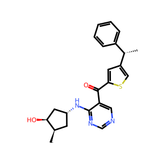 [CH2][C@@H]1C[C@@H](Nc2ncncc2C(=O)c2cc([C@@H](C)c3ccccc3)cs2)C[C@@H]1O